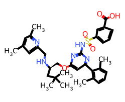 Cc1cc(C)nc(CN[C@@H](COc2cc(-c3c(C)cccc3C)nc(NS(=O)(=O)c3cccc(C(=O)O)c3)n2)CC(C)(C)C)c1